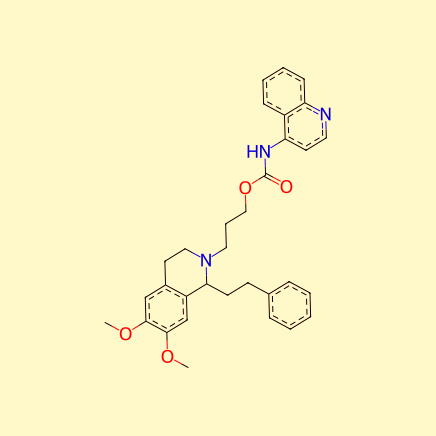 COc1cc2c(cc1OC)C(CCc1ccccc1)N(CCCOC(=O)Nc1ccnc3ccccc13)CC2